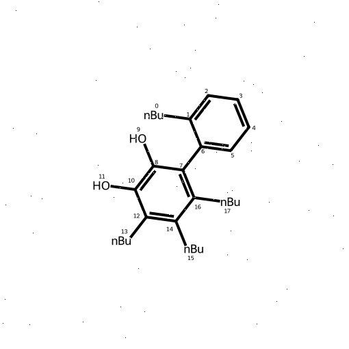 CCCCc1ccccc1-c1c(O)c(O)c(CCCC)c(CCCC)c1CCCC